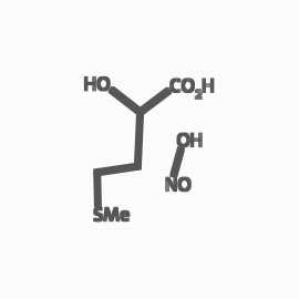 CSCCC(O)C(=O)O.O=NO